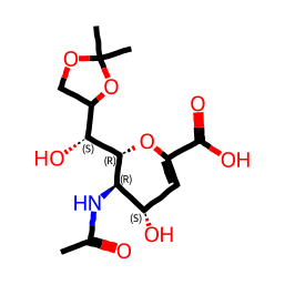 CC(=O)N[C@H]1[C@H]([C@H](O)C2COC(C)(C)O2)OC(C(=O)O)=C[C@@H]1O